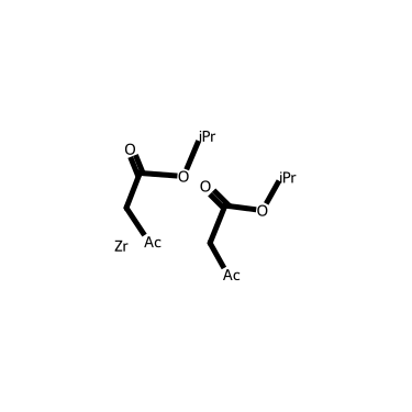 CC(=O)CC(=O)OC(C)C.CC(=O)CC(=O)OC(C)C.[Zr]